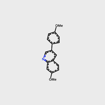 COc1ccc(-c2cnc3cc(OC)ccc3c2)cc1